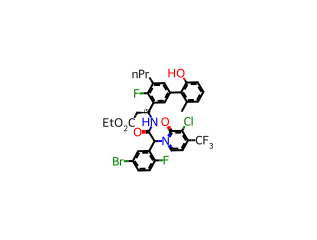 CCCc1cc(-c2c(C)cccc2O)cc([C@H](CC(=O)OCC)NC(=O)C(c2cc(Br)ccc2F)n2ccc(C(F)(F)F)c(Cl)c2=O)c1F